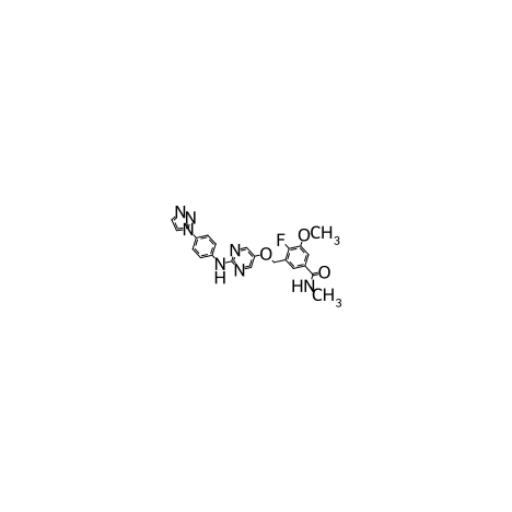 CNC(=O)c1cc(COc2cnc(Nc3ccc(-n4ccnn4)cc3)nc2)c(F)c(OC)c1